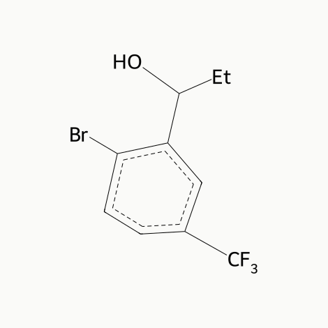 CCC(O)c1cc(C(F)(F)F)ccc1Br